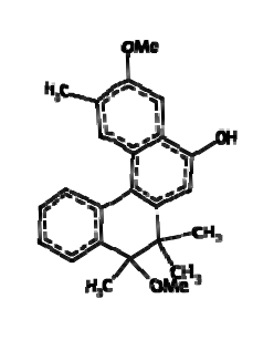 COc1cc2c(O)cc3c(c2cc1C)-c1ccccc1C(C)(OC)C3(C)C